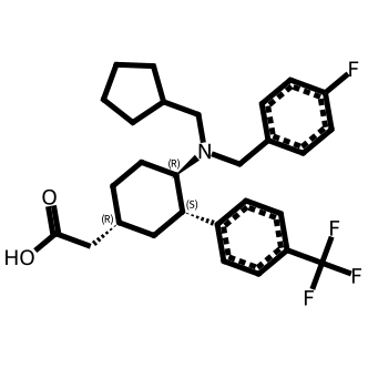 O=C(O)C[C@@H]1CC[C@@H](N(Cc2ccc(F)cc2)CC2CCCC2)[C@H](c2ccc(C(F)(F)F)cc2)C1